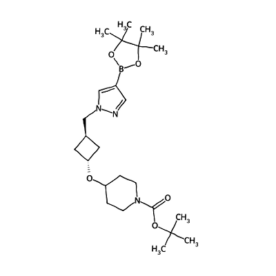 CC(C)(C)OC(=O)N1CCC(O[C@H]2C[C@H](Cn3cc(B4OC(C)(C)C(C)(C)O4)cn3)C2)CC1